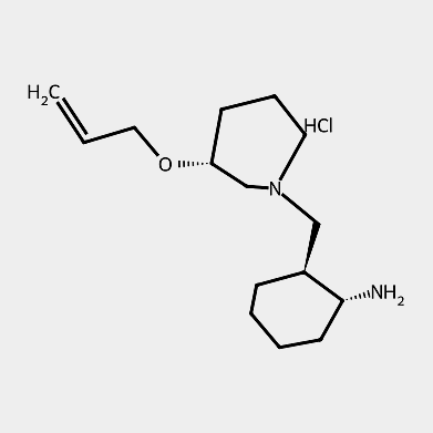 C=CCO[C@@H]1CCCN(C[C@@H]2CCCC[C@H]2N)C1.Cl